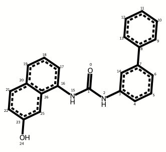 O=C(Nc1cccc(-c2ccccc2)c1)Nc1cccc2ccc(O)cc12